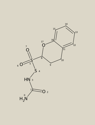 NC(=O)NSS(=O)(=O)C1CCc2ccccc2O1